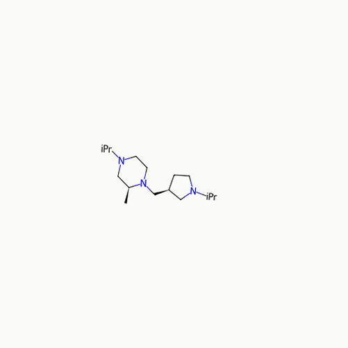 CC(C)N1CC[C@H](CN2CCN(C(C)C)C[C@@H]2C)C1